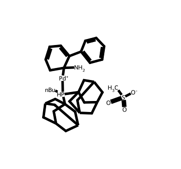 CCCC[PH]([Pd+][C]1(N)CC=CC=C1c1ccccc1)(C12CC3CC(CC(C3)C1)C2)C12CC3CC(CC(C3)C1)C2.CS(=O)(=O)[O-]